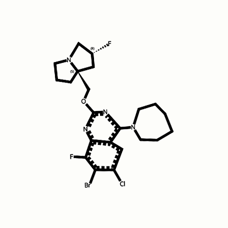 Fc1c(Br)c(Cl)cc2c(N3CCCCCC3)nc(OC[C@@]34CCCN3C[C@H](F)C4)nc12